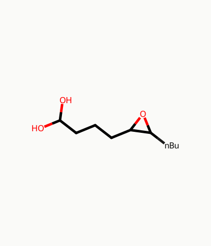 CCCCC1OC1CCCC(O)O